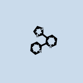 c1ccc(-c2ncccc2-c2nccs2)nc1